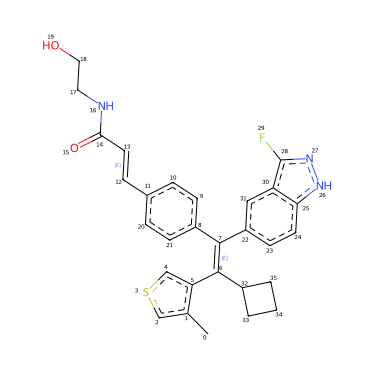 Cc1cscc1/C(=C(\c1ccc(/C=C/C(=O)NCCO)cc1)c1ccc2[nH]nc(F)c2c1)C1CCC1